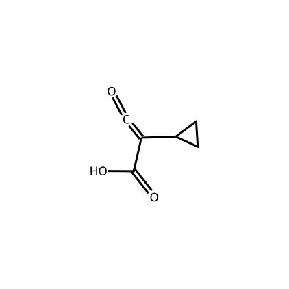 O=C=C(C(=O)O)C1CC1